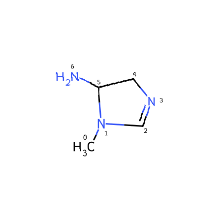 CN1C=NCC1N